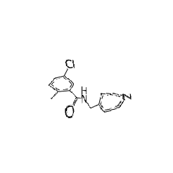 Cc1ccc(Cl)cc1C(=O)NCc1ccncc1